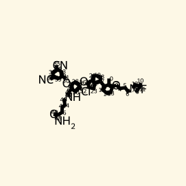 Cc1c(OCCCN2CC(C)(F)C2)cccc1-c1cccc2c1CC[C@@H]2Oc1cc(OCc2cc(C#N)cc(C#N)c2)c(CNCCCCC(N)=O)cc1Cl